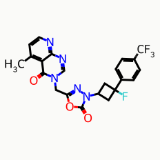 Cc1ccnc2ncn(Cc3nn(C4CC(F)(c5ccc(C(F)(F)F)cc5)C4)c(=O)o3)c(=O)c12